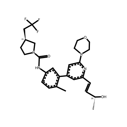 Cc1ccc(NC(=O)N2CC[C@@H](CC(F)(F)F)C2)cc1-c1cc(C=C[C@@H](C)O)nc(N2CCOCC2)c1